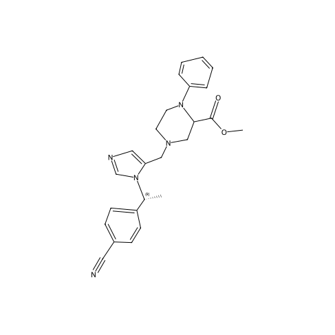 COC(=O)C1CN(Cc2cncn2[C@H](C)c2ccc(C#N)cc2)CCN1c1ccccc1